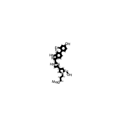 CCc1cc(O)ccc1-c1ccc2c(-c3nc(C4=C[C@H](CO)N(CCCOC)C4)c[nH]3)n[nH]c2c1F